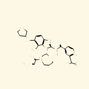 C=CC(=O)N1CCCC[C@@H](n2c(NC(=O)c3ccnc(C(F)F)c3)nc3ccc(O[C@H]4CCOC4)c(Cl)c32)C1